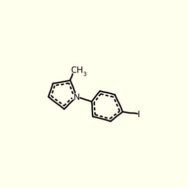 Cc1cccn1-c1ccc(I)cc1